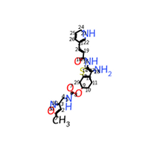 Cc1cc(CNC(=O)OC2CCc3c(sc(NC(=O)/C=C/C4=CNCC=C4)c3N)C2)no1